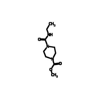 CCNC(=O)N1CCN(C(=O)OC)CC1